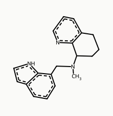 CN(Cc1cccc2cc[nH]c12)C1CCCc2cccnc21